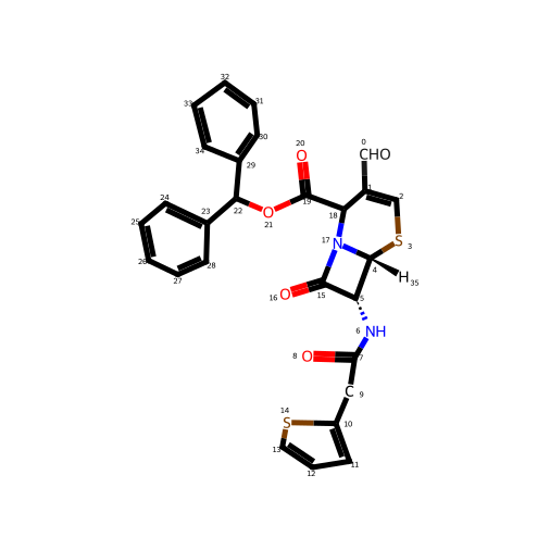 O=CC1=CS[C@@H]2[C@H](NC(=O)Cc3cccs3)C(=O)N2C1C(=O)OC(c1ccccc1)c1ccccc1